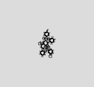 Cc1ccc(S(=O)(=O)N2C[C@H]3C(=O)C[C@@H](c4ccccc4)N(S(=O)(=O)c4cccc(Cl)c4)[C@H]3C[C@H]2c2ccccc2)cc1